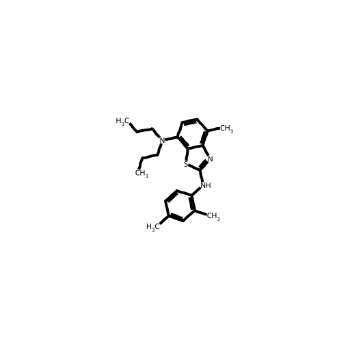 CCCN(CCC)c1ccc(C)c2nc(Nc3ccc(C)cc3C)sc12